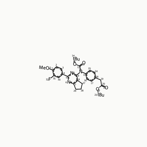 COc1ccc(-c2nc3c(c(N(C(=O)OC(C)(C)C)c4ccc(CC(=O)OC(C)(C)C)cc4)n2)CCC3)cc1F